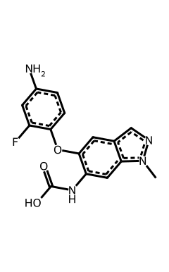 Cn1ncc2cc(Oc3ccc(N)cc3F)c(NC(=O)O)cc21